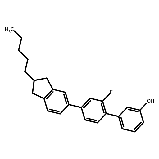 CCCCCC1Cc2ccc(-c3ccc(-c4cccc(O)c4)c(F)c3)cc2C1